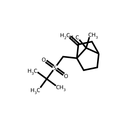 C=C1CC2CCC1(CS(=O)(=O)C(C)(C)C)C2(C)C